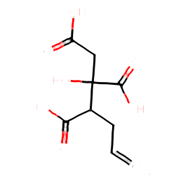 C=CCC(C(=O)O)C(O)(CC(=O)O)C(=O)O